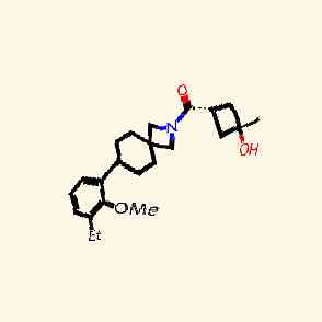 CCc1cccc(C2CCC3(CC2)CN(C(=O)[C@H]2C[C@@](C)(O)C2)C3)c1OC